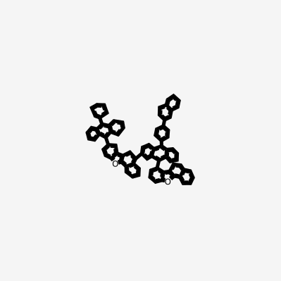 c1ccc(-c2c3ccccc3c(-c3ccc4oc5c6ccccc6c(-c6ccc7c(-c8ccc(-c9ccc%10ccccc%10c9)cc8)c8ccccc8c(-c8cccc9oc%10c%11ccccc%11ccc%10c89)c7c6)cc5c4c3)c3ccccc23)cc1